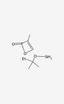 CC1=COC1=O.CCC(C)(C)O[SiH3]